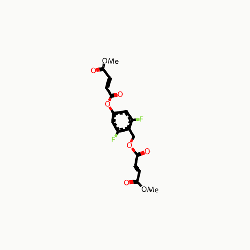 COC(=O)/C=C/C(=O)OCc1c(F)cc(OC(=O)/C=C/C(=O)OC)cc1F